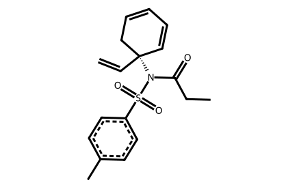 C=C[C@]1(N(C(=O)CC)S(=O)(=O)c2ccc(C)cc2)C=CC=CC1